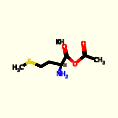 CSCC[C@H](N)C(=O)OC(C)=O.[KH]